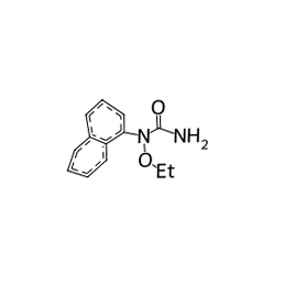 CCON(C(N)=O)c1cccc2ccccc12